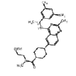 COCCN(C)C(=O)[C@H]1CC[C@@H](c2ccc3nc(C)nc(N[C@H](C)c4cc(N)cc(C(F)(F)F)c4)c3c2)CC1